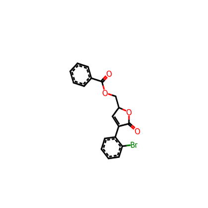 O=C1OC(COC(=O)c2ccccc2)C=C1c1ccccc1Br